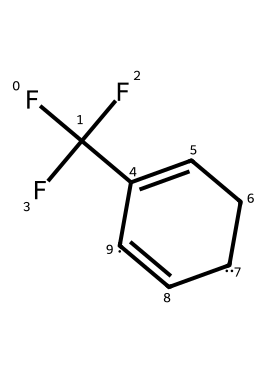 FC(F)(F)C1=CC[C]C=[C]1